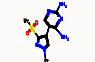 CCn1cc(-c2cnc(N)nc2N)c(S(=O)(=O)C(C)C)n1